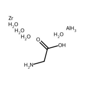 NCC(=O)O.O.O.O.O.[AlH3].[Zr]